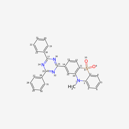 CN1c2ccccc2S(=O)(=O)c2ccc(-c3nc(-c4ccccc4)nc(-c4ccccc4)n3)cc21